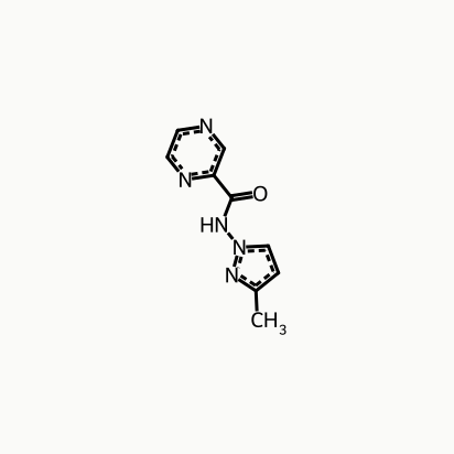 Cc1ccn(NC(=O)c2cnccn2)n1